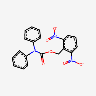 O=C(OCc1c([N+](=O)[O-])cccc1[N+](=O)[O-])N(c1ccccc1)c1ccccc1